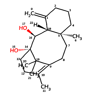 C=C1CCC[C@@]2(C)CCC3=C(C)CC[C@@](O)([C@@H](O)[C@H]12)C3(C)C